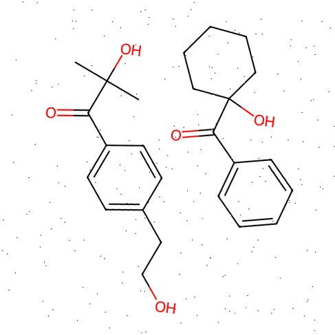 CC(C)(O)C(=O)c1ccc(CCO)cc1.O=C(c1ccccc1)C1(O)CCCCC1